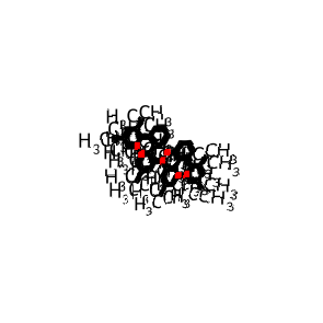 CC(C)(C)c1cc(C(C)(C)C)c(-c2[c]ccc(Sc3cc[c]c(-c4c(C(C)(C)C)cc(C(C)(C)C)cc4C(C)(C)C)c3-c3c(C(C)(C)C)cc(C(C)(C)C)cc3C(C)(C)C)c2-c2c(C(C)(C)C)cc(C(C)(C)C)cc2C(C)(C)C)c(C(C)(C)C)c1